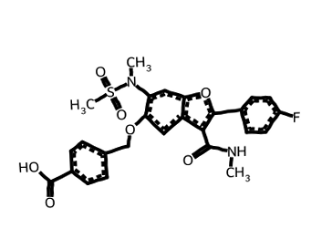 CNC(=O)c1c(-c2ccc(F)cc2)oc2cc(N(C)S(C)(=O)=O)c(OCc3ccc(C(=O)O)cc3)cc12